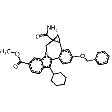 COC(=O)c1ccc2c(C3CCCCC3)c3n(c2c1)CC1(C(N)=O)CC1c1cc(OCc2ccccc2)ccc1-3